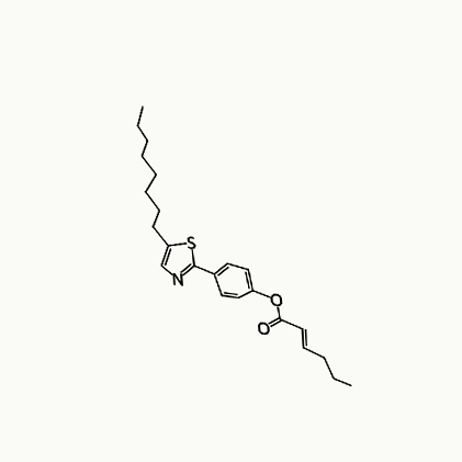 CCCC=CC(=O)Oc1ccc(-c2ncc(CCCCCCCC)s2)cc1